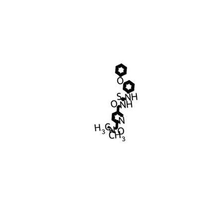 CN(C)C(=O)c1ccc(C(=O)NC(=S)Nc2cccc(Oc3ccccc3)c2)cn1